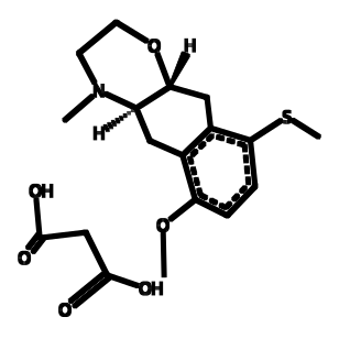 COc1ccc(SC)c2c1C[C@@H]1[C@@H](C2)OCCN1C.O=C(O)CC(=O)O